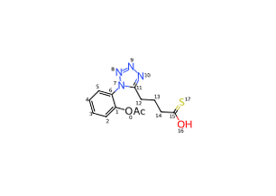 CC(=O)Oc1ccccc1-n1nnnc1CCCC(O)=S